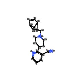 N#Cc1cccnc1C1CCN(CC2CC3C=CC2C3)CC1